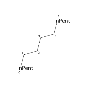 [CH2]CCCCCCCCCCCC[CH2]